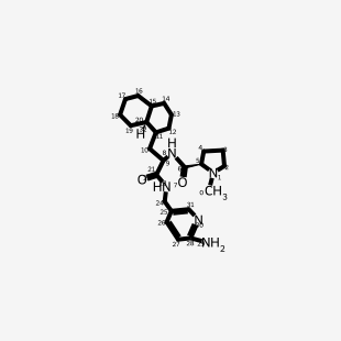 CN1CCC[C@@H]1C(=O)NC(CC1CCCC2CCCC[C@@H]21)C(=O)NCc1ccc(N)nc1